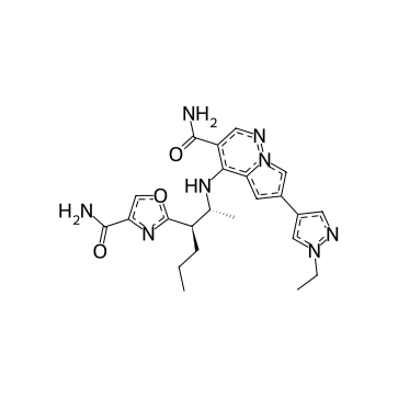 CCC[C@@H](c1nc(C(N)=O)co1)[C@@H](C)Nc1c(C(N)=O)cnn2cc(-c3cnn(CC)c3)cc12